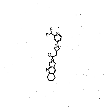 O=C(CC1CN(c2ccnc(C(F)F)c2)C1)N1Cc2cc3c(nc2C1)CCCC3